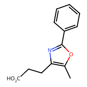 Cc1oc(-c2ccccc2)nc1CCC(=O)O